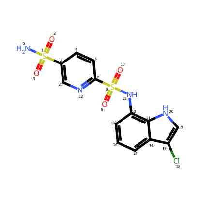 NS(=O)(=O)c1ccc(S(=O)(=O)Nc2cccc3c(Cl)c[nH]c23)nc1